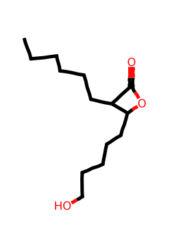 CCCCCCC1C(=O)OC1CCCCCO